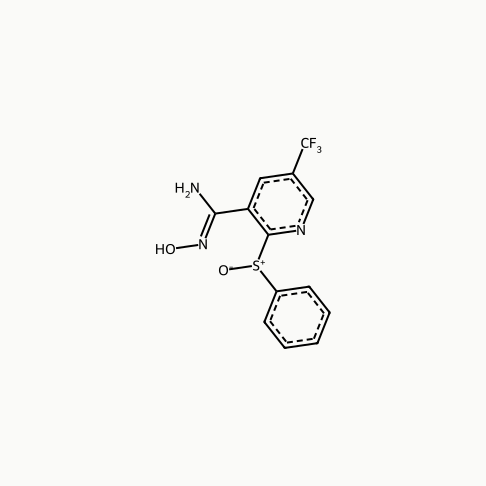 NC(=NO)c1cc(C(F)(F)F)cnc1[S+]([O-])c1ccccc1